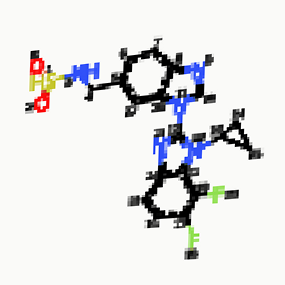 O=[SH](=O)NCc1ccc2ncn(-c3nc4ccc(F)c(F)c4n3C3CC3)c2c1